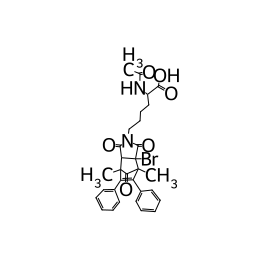 CC(=O)NC(CCCCN1C(=O)C2C3(C)C(=O)C(C)(C(c4ccccc4)=C3c3ccccc3)C2(Br)C1=O)C(=O)O